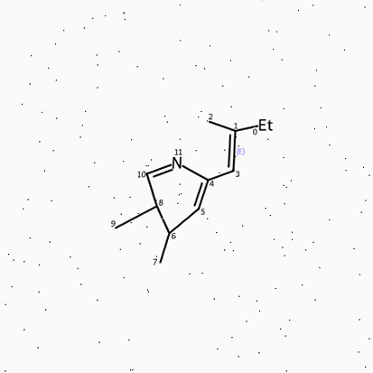 CC/C(C)=C/C1=CC(C)C(C)C=N1